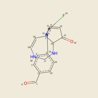 O=Cc1ccc(C2=NC=C(F)C3=CC(=O)C4NCNC=CC324)cc1